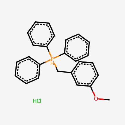 COc1cccc(C[PH](c2ccccc2)(c2ccccc2)c2ccccc2)c1.Cl